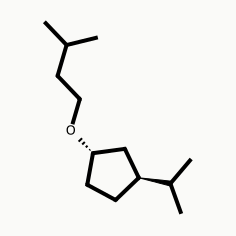 CC(C)CCO[C@H]1CC[C@H](C(C)C)C1